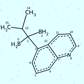 BC(B)(c1cccc2ncccc12)C(C)C